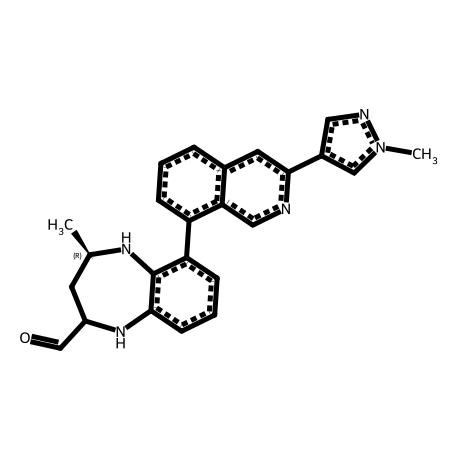 C[C@@H]1CC(C=O)Nc2cccc(-c3cccc4cc(-c5cnn(C)c5)ncc34)c2N1